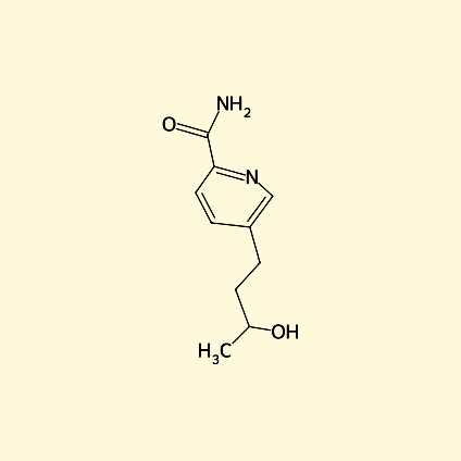 CC(O)CCc1ccc(C(N)=O)nc1